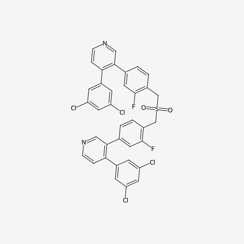 O=S(=O)(Cc1ccc(-c2cnccc2-c2cc(Cl)cc(Cl)c2)cc1F)Cc1ccc(-c2cnccc2-c2cc(Cl)cc(Cl)c2)cc1F